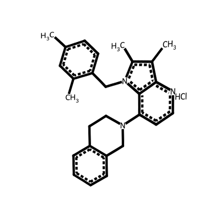 Cc1ccc(Cn2c(C)c(C)c3nccc(N4CCc5ccccc5C4)c32)c(C)c1.Cl